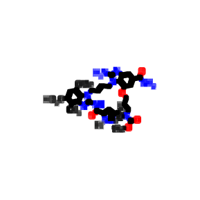 CCn1nc(C)cc1C(=O)Nc1nc2c(C)c(C(=O)O)cc(OC)c2n1CC=CCn1c(N)nc2cc(C(N)=O)cc(OCCCN(C)C(=O)OC(C)(C)C)c21